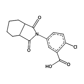 O=C(O)c1cc(N2C(=O)C3CCCCC3C2=O)ccc1Cl